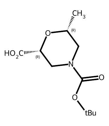 C[C@@H]1CN(C(=O)OC(C)(C)C)C[C@H](C(=O)O)O1